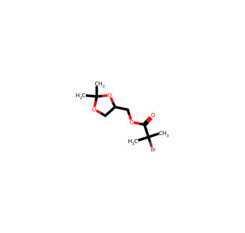 CC1(C)OCC(COC(=O)C(C)(C)Br)O1